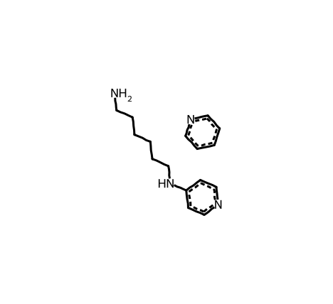 NCCCCCCNc1ccncc1.c1ccncc1